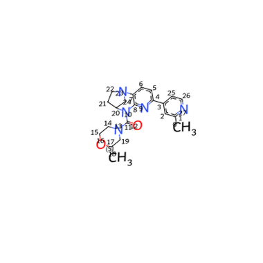 Cc1cc(-c2ccc3c(n2)N(C(=O)N2CCO[C@@H](C)C2)C2CCN3C2)ccn1